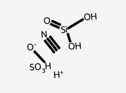 C#N.O=S(=O)([O-])O.O=[Si](O)O.[H+]